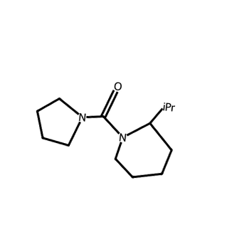 CC(C)C1CCCCN1C(=O)N1CCCC1